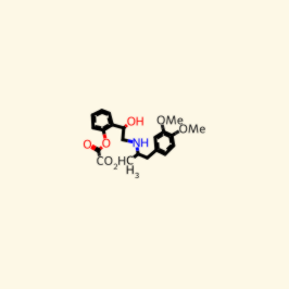 COc1ccc(CC(C)NCC(O)c2ccccc2OC(=O)C(=O)O)cc1OC